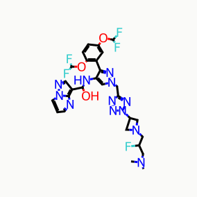 CN(C)CC(F)CN1CC(n2nnc(Cn3cc(NC(O)c4cnn5cccnc45)c(-c4cc(OC(F)F)ccc4OC(F)F)n3)n2)C1